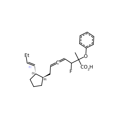 CC/C=C/[C@H]1CCC[C@@H]1CC=C=CC(F)C(C)(Oc1ccccc1)C(=O)O